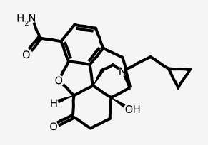 NC(=O)c1ccc2c3c1O[C@H]1C(=O)CC[C@@]4(O)C(C2)N(CC2CC2)CC[C@]314